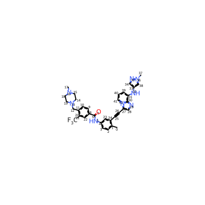 Cc1ccc(NC(=O)c2ccc(CN3CCN(C)CC3)c(C(F)(F)F)c2)cc1C#Cc1cnc2c(Nc3cnn(C)c3)cccn12